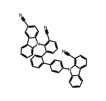 N#Cc1ccc2c(c1)c1ccccc1n2-c1c(C#N)cccc1-c1ccccc1-c1ccc(-n2c3ccccc3c3cccc(C#N)c32)cc1